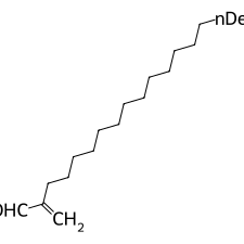 C=C([C]=O)CCCCCCCCCCCCCCCCCCCCCCC